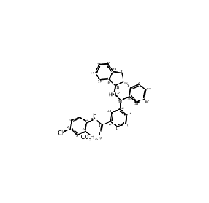 O=C(Nc1ccc(Cl)cc1C(=O)O)c1cccc(C(NC2CCc3ccccc32)c2ccccc2)c1